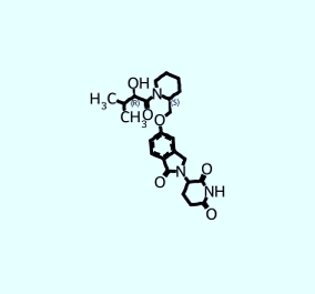 CC(C)[C@@H](O)C(=O)N1CCCC[C@H]1COc1ccc2c(c1)CN(C1CCC(=O)NC1=O)C2=O